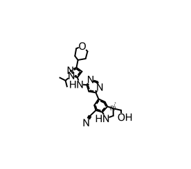 CC(C)n1nc(C2CCOCC2)cc1Nc1cc(-c2cc(C#N)c3c(c2)[C@@](C)(CO)CN3)ncn1